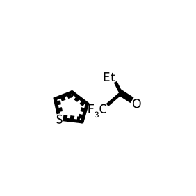 CCC(=O)C(F)(F)F.c1ccsc1